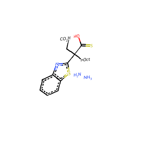 CCCCCCCCC(CC(=O)O)(C(O)=S)c1nc2ccccc2s1.N.N